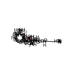 CCCC[C@H](NC(=O)[C@H](CCC(=O)[C@H](CC1=CCC=N1)NC(=O)[C@H](CCC(N)=O)NC(=O)[C@H](CO)NC(=O)CNC(=O)COCCOCCNC(=O)CCCCCCCCCCCCCCCc1nnn[nH]1)NC(=O)CN(CC(=O)O)CC(=O)O)C(=O)N[C@H]1CCC(=O)CCCCC[C@@H](C(C)=O)NC(=O)[C@H](Cc2c[nH]c3ccccc23)NC(=O)[C@H](CCCNC(=N)N)NC(=O)[C@@H](Cc2ccccc2)NC(=O)[C@@H]2C[C@@H](O)CN2C1=O